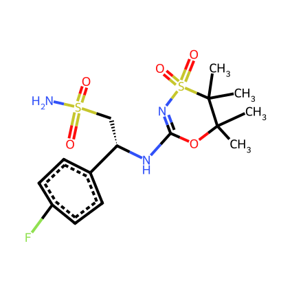 CC1(C)OC(N[C@@H](CS(N)(=O)=O)c2ccc(F)cc2)=NS(=O)(=O)C1(C)C